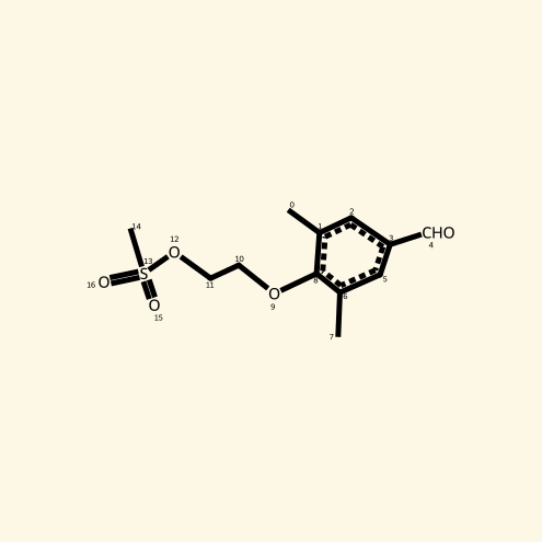 Cc1cc(C=O)cc(C)c1OCCOS(C)(=O)=O